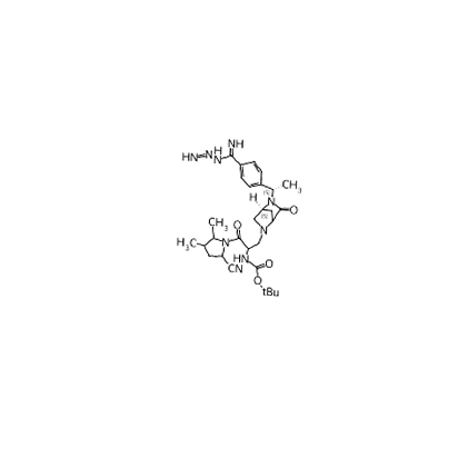 CC1CC(C#N)N(C(=O)C(CN2C[C@@H]3CC2C(=O)N3[C@@H](C)c2ccc(C(=N)NN=N)cc2)NC(=O)OC(C)(C)C)C1C